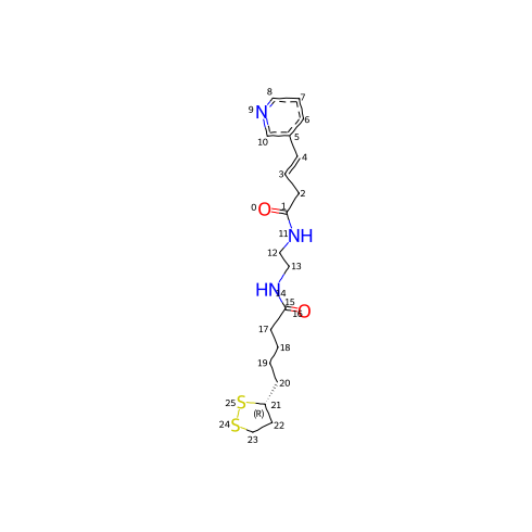 O=C(CC=Cc1cccnc1)NCCNC(=O)CCCC[C@@H]1CCSS1